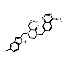 COCC1C(=O)N(Cc2ccc3c(N)ncnc3c2)CCN1Cc1cc2cc(Cl)ccc2[nH]1